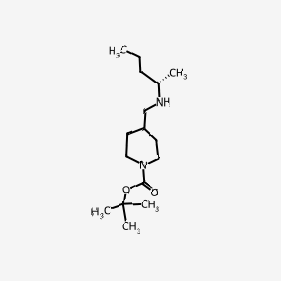 CCC[C@H](C)NCC1CCN(C(=O)OC(C)(C)C)CC1